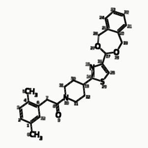 Cc1ccc(C)c(CC(=O)N2CCC(c3nc(C4OCc5ccccc5CO4)cs3)CC2)c1